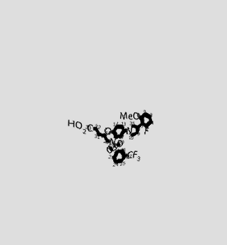 COc1cccc(F)c1C1CCN(c2ccc3c(c2)N(S(=O)(=O)c2cccc(C(F)(F)F)c2)CC(CCC(=O)O)O3)C1